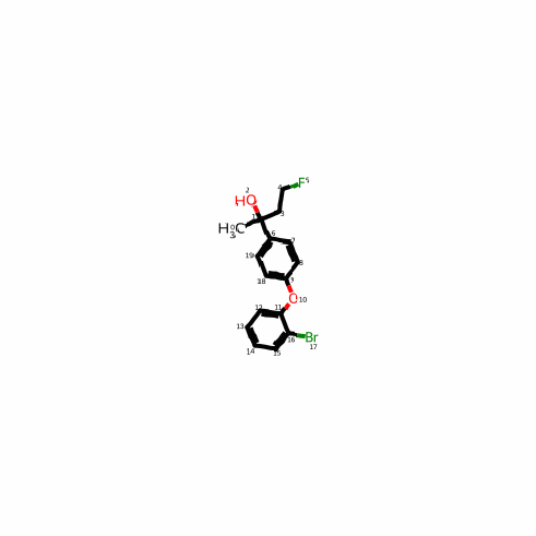 CC(O)(CCF)c1ccc(Oc2ccccc2Br)cc1